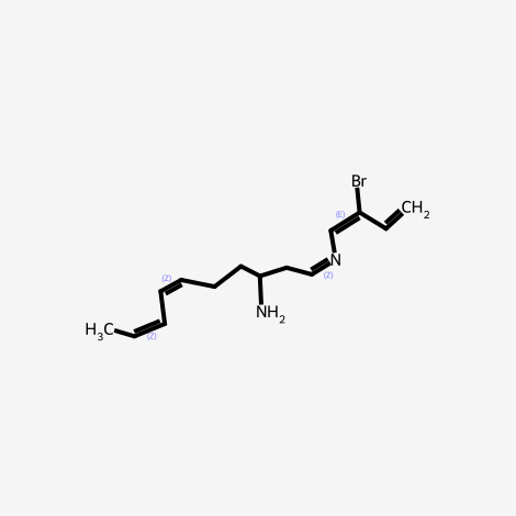 C=C/C(Br)=C\N=C/CC(N)CC/C=C\C=C/C